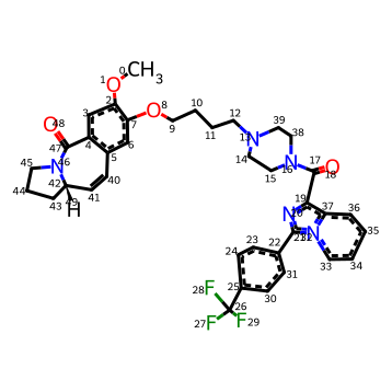 COc1cc2c(cc1OCCCCN1CCN(C(=O)c3nc(-c4ccc(C(F)(F)F)cc4)n4ccccc34)CC1)C=C[C@@H]1CCCN1C2=O